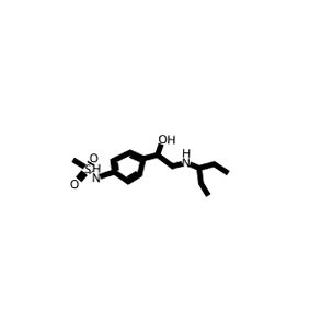 CCC(CC)NCC(O)c1ccc(NS(C)(=O)=O)cc1